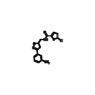 Bc1cccc(C2=NOC(CNC(=O)c3ccc(Cl)s3)C2)c1